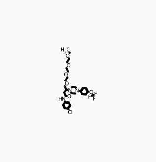 CCOCCOCCOCCOCC(CC(=O)Nc1ccc(Cl)cc1)N1CCN(c2ccc(OC(F)(F)F)cc2)CC1